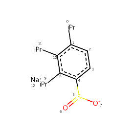 CC(C)c1ccc(S(=O)[O-])c(C(C)C)c1C(C)C.[Na+]